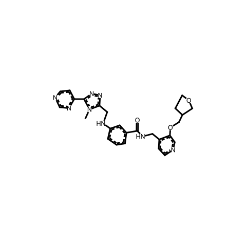 Cn1c(CNc2cccc(C(=O)NCc3ccncc3OCC3CCOC3)c2)nnc1-c1ccncn1